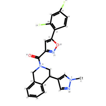 CCn1cc(C2CN(C(=O)c3cc(-c4ccc(F)cc4F)on3)Cc3ccccc32)cn1